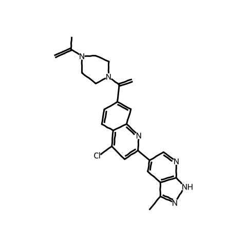 C=C(C)N1CCN(C(=C)c2ccc3c(Cl)cc(-c4cnc5[nH]nc(C)c5c4)nc3c2)CC1